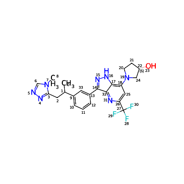 CC(Cc1nncn1C)c1cccc(-c2n[nH]c3c(N4CC[C@H](O)C4)cc(C(F)(F)F)nc23)c1